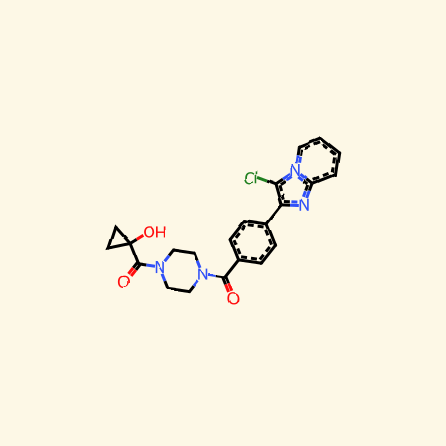 O=C(c1ccc(-c2nc3ccccn3c2Cl)cc1)N1CCN(C(=O)C2(O)CC2)CC1